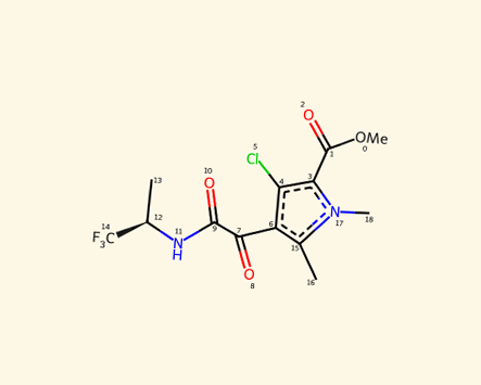 COC(=O)c1c(Cl)c(C(=O)C(=O)N[C@H](C)C(F)(F)F)c(C)n1C